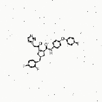 O=C(Nc1ccc(Oc2ccc(F)cc2)cc1)C1CC(Cc2ccc(F)cc2F)CN1C(=O)Cn1ccnn1